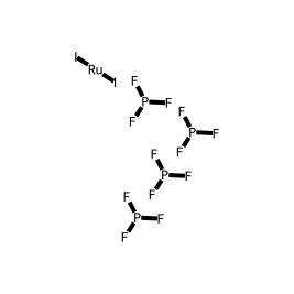 FP(F)F.FP(F)F.FP(F)F.FP(F)F.[I][Ru][I]